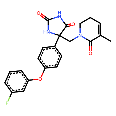 CC1=CCCN(CC2(c3ccc(Oc4cccc(F)c4)cc3)NC(=O)NC2=O)C1=O